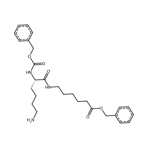 NCCCC[C@H](NC(=O)OCc1ccccc1)C(=O)NCCCCCC(=O)OCc1ccccc1